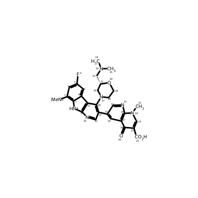 CNc1cc(F)cc2c1[nH]c1ncc(-c3cnc4c(c3)c(=O)c(C(=O)O)cn4C)c(N3CCO[C@@H](CN(C)C)C3)c12